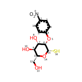 O=[N+]([O-])c1ccc(O[C@H]2[C@@H](O)[C@H](O)[C@@H](CO)O[C@H]2S)cc1